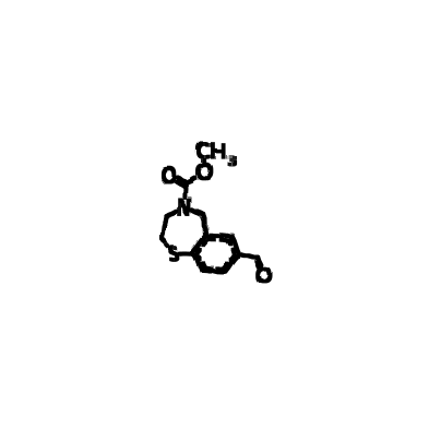 COC(=O)N1CCSc2ccc(C=O)cc2C1